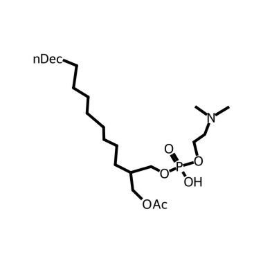 CCCCCCCCCCCCCCCCCCC(COC(C)=O)COP(=O)(O)OCCN(C)C